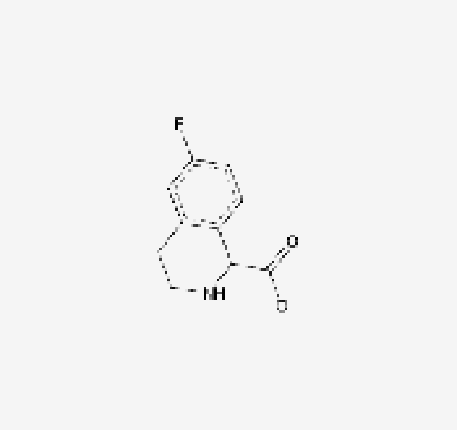 O=C(O)C1NCCc2cc(F)ccc21